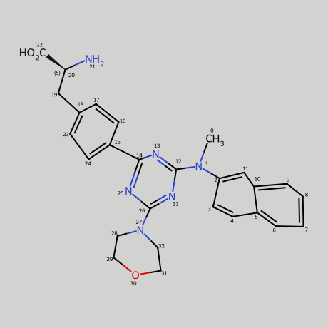 CN(c1ccc2ccccc2c1)c1nc(-c2ccc(C[C@H](N)C(=O)O)cc2)nc(N2CCOCC2)n1